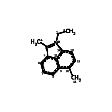 CC[N+]1=C(C)c2cccc3c(C)ccc1c23